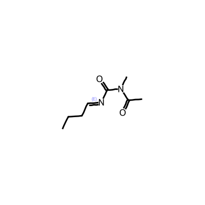 CCC/C=N/C(=O)N(C)C(C)=O